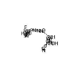 Cc1ncsc1-c1ccc(CNC(=O)[C@@H]2C[C@@H](O)CN2C(=O)C(NC(=O)CCCCCCC(=O)N2CCN(C3CCN(c4ccc5c(c4)C(=O)N(C(C(=O)Nc4nccs4)c4cc(F)ccc4O)C5)CC3)CC2)C(C)(C)C)cc1